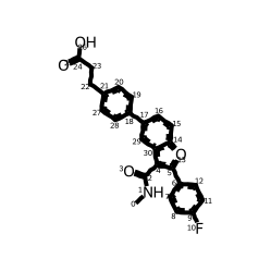 CNC(=O)c1c(-c2ccc(F)cc2)oc2ccc(-c3ccc(CCC(=O)O)cc3)cc12